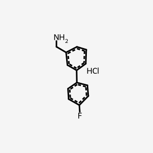 Cl.NCc1cccc(-c2ccc(F)cc2)c1